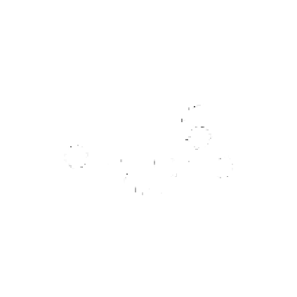 CC(=O)Nc1ccc(-c2ccccc2)n(CC(=O)NC(C(=O)C(F)(F)C(=O)NCCc2ccccc2)C(C)C)c1=O